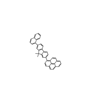 CC1(C)c2cc(-c3cccc4ccccc34)ccc2-c2ccc(-c3ccc4ccc5cccc6ccc3c4c56)cc21